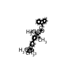 CCn1c(CNC(=O)OCC2c3ccccc3-c3ccccc32)[n+](CC)c2ccc(C3CCN(C(=O)OC(C)(C)C)CC3)cc21.[I-]